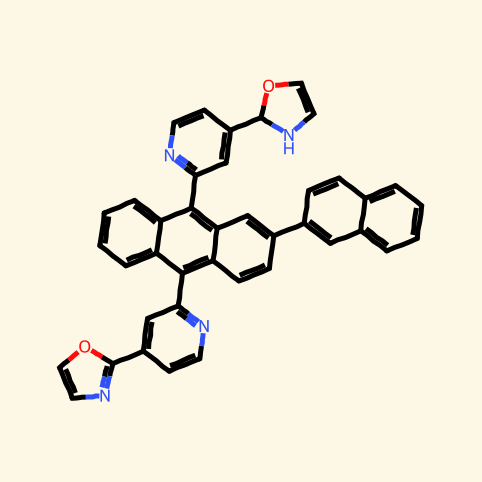 C1=COC(c2ccnc(-c3c4ccccc4c(-c4cc(-c5ncco5)ccn4)c4ccc(-c5ccc6ccccc6c5)cc34)c2)N1